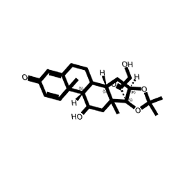 CC1(C)O[C@@H]2C[C@H]3C4CCC5=CC(=O)C=CC5(C)[C@H]4C(O)CC3(C)[C@]2(C(=O)CO)O1